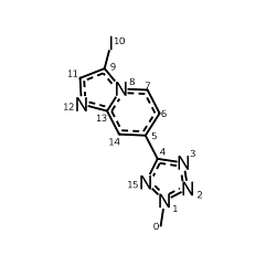 Cn1nnc(-c2ccn3c(I)cnc3c2)n1